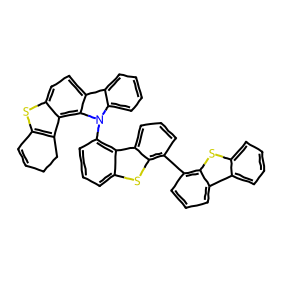 C1=Cc2sc3ccc4c5ccccc5n(-c5cccc6sc7c(-c8cccc9c8sc8ccccc89)cccc7c56)c4c3c2CC1